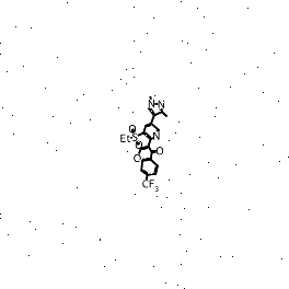 CCS(=O)(=O)c1cc(-c2cn(C)nc2C)cnc1-c1coc2cc(C(F)(F)F)ccc2c1=O